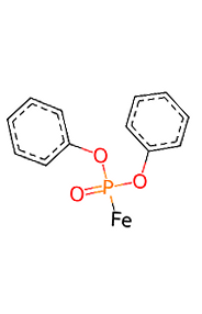 O=[P]([Fe])(Oc1ccccc1)Oc1ccccc1